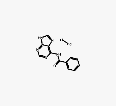 O=C(Nc1ncnc2[nH]cnc12)c1ccccc1.[Cl][Hg]